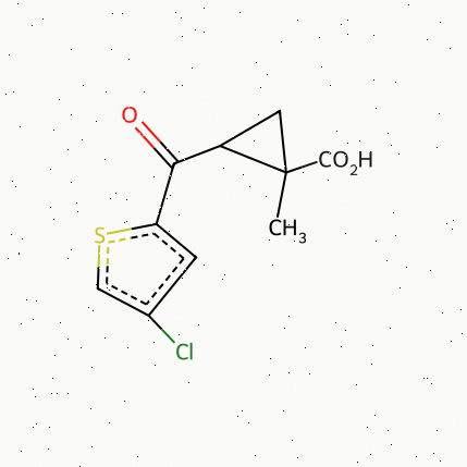 CC1(C(=O)O)CC1C(=O)c1cc(Cl)cs1